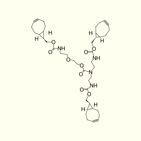 O=C(NCCOCCOC(=O)N(CCNC(=O)OC[C@@H]1[C@@H]2CCC#CCC[C@@H]21)CCNC(=O)OC[C@@H]1[C@@H]2CCC#CCC[C@@H]21)OC[C@@H]1[C@@H]2CCC#CCC[C@@H]21